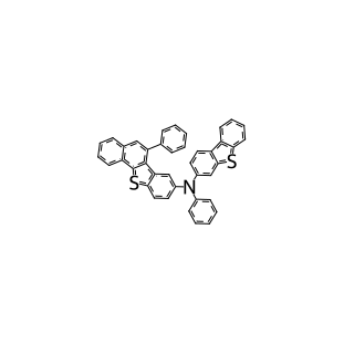 c1ccc(-c2cc3ccccc3c3sc4ccc(N(c5ccccc5)c5ccc6c(c5)sc5ccccc56)cc4c23)cc1